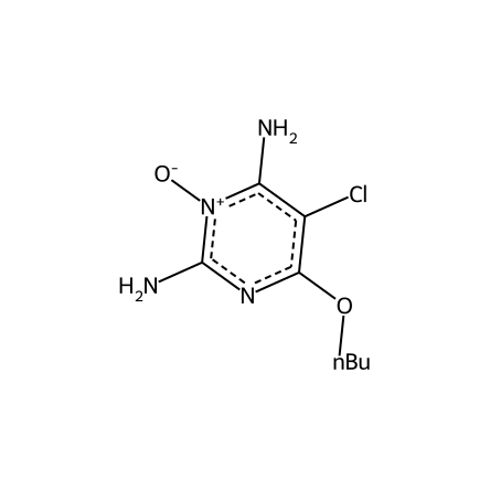 CCCCOc1nc(N)[n+]([O-])c(N)c1Cl